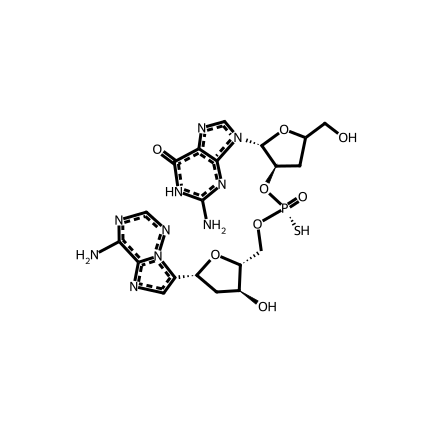 Nc1nc2c(ncn2[C@@H]2OC(CO)C[C@H]2O[P@](=O)(S)OC[C@H]2O[C@@H](c3cnc4c(N)ncnn34)C[C@@H]2O)c(=O)[nH]1